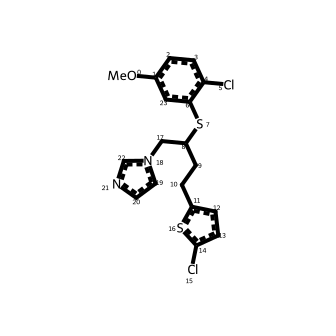 COc1ccc(Cl)c(SC(CCc2ccc(Cl)s2)Cn2ccnc2)c1